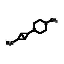 CC1C2C1C2N1CCN(C)CC1